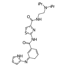 CC(C)N(CCNC(=O)c1csc(NC(=O)C2=CC(=Nc3ccc[nH]3)CC=C2)n1)C(C)C